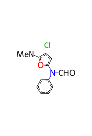 CNc1oc(N(C=O)c2ccccc2)cc1Cl